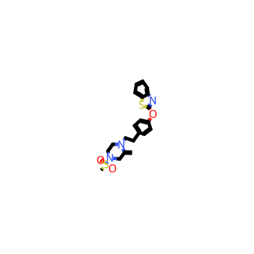 C=C1CN(S(C)(=O)=O)CCN1CCc1ccc(Oc2nc3ccccc3s2)cc1